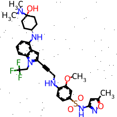 COc1cc(S(=O)(=O)Nc2cc(C)on2)ccc1NCC#Cc1cc2c(N[C@H]3CC[C@@](O)(N(C)C)CC3)cccc2n1CC(F)(F)F